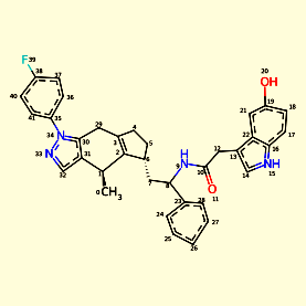 C[C@@H]1C2=C(CC[C@@H]2CC(NC(=O)Cc2c[nH]c3ccc(O)cc23)c2ccccc2)Cc2c1cnn2-c1ccc(F)cc1